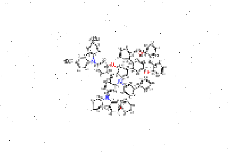 CC(C)(C)c1ccc2c(c1)c1cc(C(C)(C)C)ccc1n2-c1ccc2c(c1)Oc1cc(-c3cc4c5c(c3-c3ccccc3C(C)(C)C)Oc3ccccc3B5c3ccccc3O4)cc3c1B2c1ccc(-n2c4ccccc4c4ccccc42)cc1N3c1cc(-c2ccccc2)cc(-c2ccccc2)c1